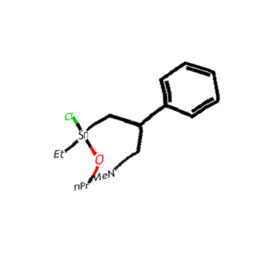 CCC[O][Sn]([Cl])([CH2]C)[CH2]C(CNC)c1ccccc1